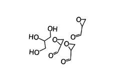 O=CC1CO1.O=CC1CO1.O=CC1CO1.OCC(O)CO